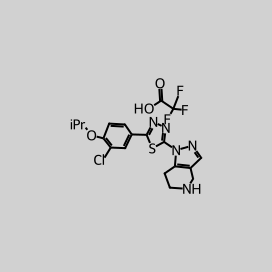 CC(C)Oc1ccc(-c2nnc(-n3ncc4c3CCNC4)s2)cc1Cl.O=C(O)C(F)(F)F